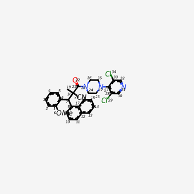 COc1ccccc1C(c1cccc2ccccc12)C(C)(C#N)C(=O)N1CCN(c2c(Cl)cncc2Cl)CC1